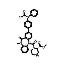 COC(=O)[C@@H]1CNCCN1C(=O)N1c2ccc(-c3ccc(N(C(=O)Cl)c4ccccc4)cc3)cc2C(=O)N(C)c2ccccc21